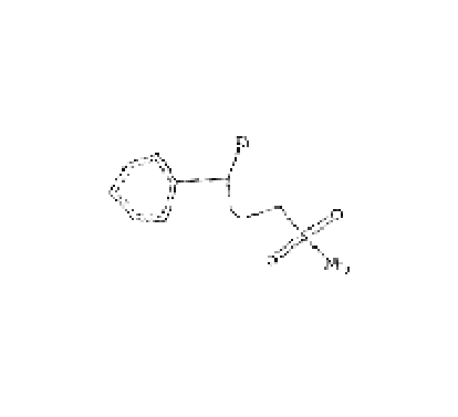 NS(=O)(=O)CCC(Cl)c1ccccc1